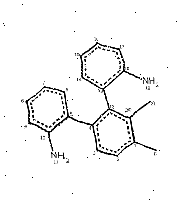 [CH2]c1ccc(-c2ccccc2N)c(-c2ccccc2N)c1[CH2]